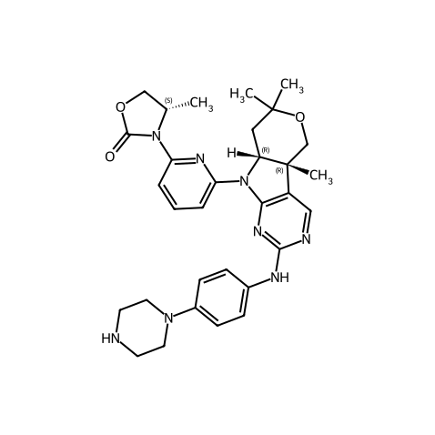 C[C@H]1COC(=O)N1c1cccc(N2c3nc(Nc4ccc(N5CCNCC5)cc4)ncc3[C@@]3(C)COC(C)(C)C[C@@H]23)n1